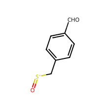 O=Cc1ccc(C[S+]=O)cc1